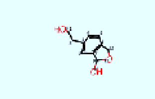 OCCc1ccc2c(c1)C(O)OC2